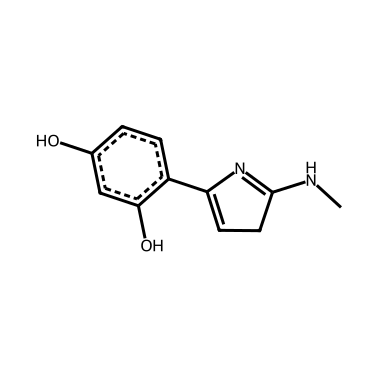 CNC1=NC(c2ccc(O)cc2O)=CC1